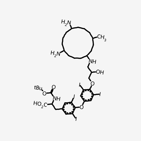 CC1CCCC(N)CCCC(N)CCCC(NCC(O)COc2c(I)cc(Oc3c(I)cc(CC(NC(=O)OC(C)(C)C)C(=O)O)cc3I)cc2I)CC1